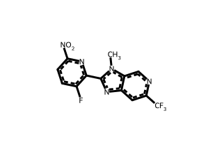 Cn1c(-c2nc([N+](=O)[O-])ccc2F)nc2cc(C(F)(F)F)ncc21